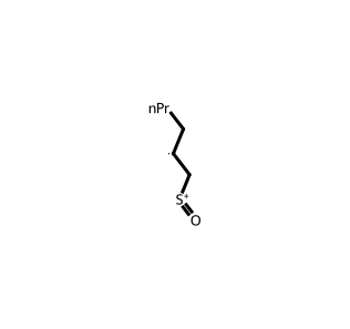 CCCC[CH]C[S+]=O